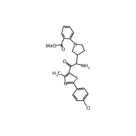 COC(=O)c1ccccc1N1CCC(C(N)C(=O)c2sc(-c3ccc(Cl)cc3)nc2C)C1